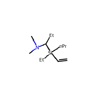 C=C[Si](CC)(CCC)C(CC)N(C)C